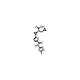 Cc1nnc(NC(=O)c2ccc(C3CC3N(CC3CC3)C(=O)O)s2)s1